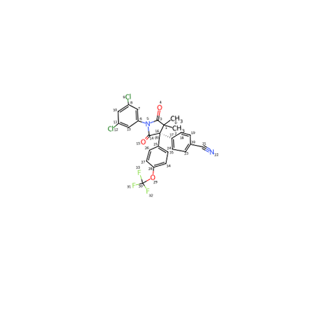 CC1(C)C(=O)N(c2cc(Cl)cc(Cl)c2)C(=O)[C@]1(c1ccc(C#N)cc1)c1ccc(OC(F)(F)F)cc1